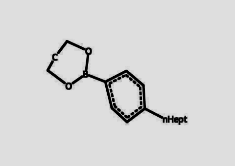 CCCCCCCc1ccc(B2OCCCO2)cc1